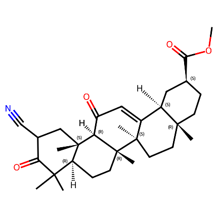 COC(=O)[C@H]1CC[C@]2(C)CC[C@]3(C)C(=CC(=O)[C@@H]4[C@@]5(C)CC(C#N)C(=O)C(C)(C)[C@@H]5CC[C@]43C)[C@H]2C1